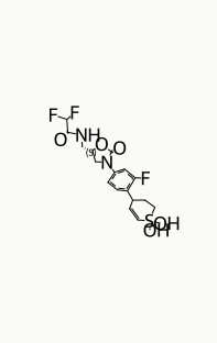 O=C(NC[C@H]1CN(c2ccc(C3C=CS(O)(O)CC3)c(F)c2)C(=O)O1)C(F)F